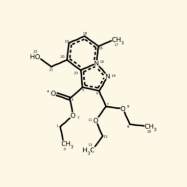 CCOC(=O)c1c(C(OCC)OCC)nn2c(C)ccc(CO)c12